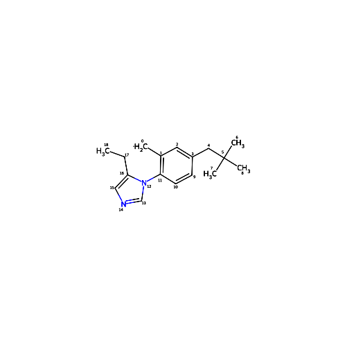 [CH2]c1cc(CC(C)(C)C)ccc1-n1cncc1CC